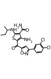 CCC(C)Nc1sc(C(=O)c2cc(-c3ccc(Cl)c(Cl)c3)no2)c(N)c1C(N)=O